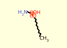 CCCCCCCCCCCCOP(=O)(O)OCCN